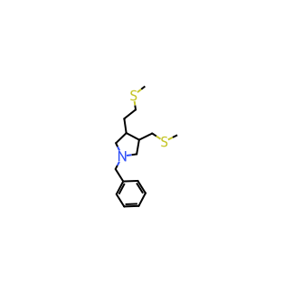 CSCCC1CN(Cc2ccccc2)CC1CSC